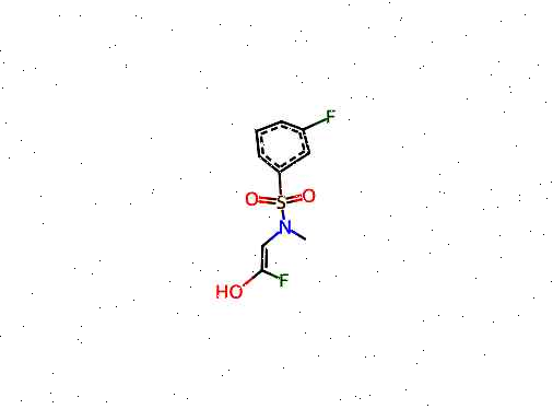 CN(/C=C(/O)F)S(=O)(=O)c1cccc(F)c1